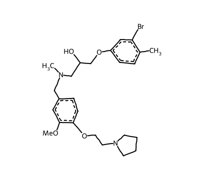 COc1cc(CN(C)CC(O)COc2ccc(C)c(Br)c2)ccc1OCCN1CCCC1